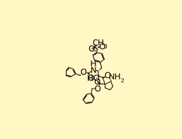 CS(=O)(=O)c1ccc(C[C@H](NC(=O)OCc2ccccc2)[C@@H](O)C(=O)C2(C(=O)OCc3ccccc3)CCCC2N)cc1